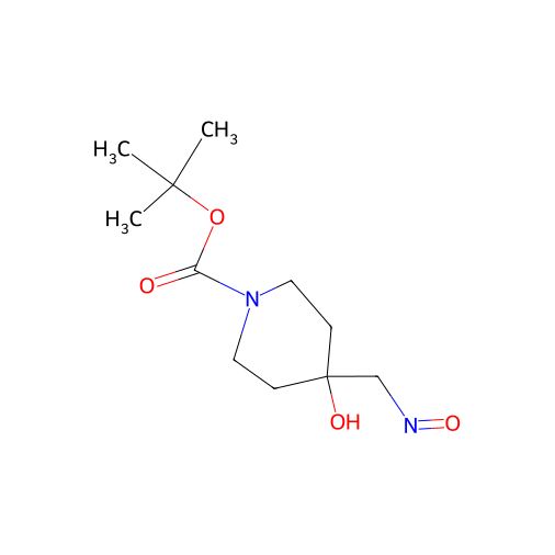 CC(C)(C)OC(=O)N1CCC(O)(CN=O)CC1